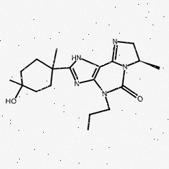 CCCN1C(=O)N2C(=NC[C@H]2C)c2[nH]c(C3(C)CCC(C)(O)CC3)nc21